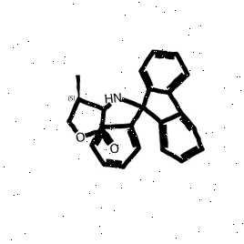 C[C@@H]1COC(=O)C1NC1(c2ccccc2)c2ccccc2-c2ccccc21